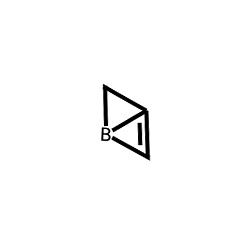 C1=C2CB12